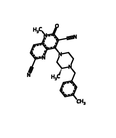 Cc1cccc(CN2CCN(c3c(C#N)c(=O)n(C)c4ccc(C#N)nc34)C[C@H]2C)c1